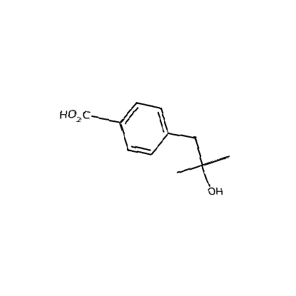 CC(C)(O)Cc1ccc(C(=O)O)cc1